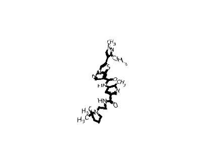 Cc1ncc(C(=O)NCCN2CCCC2(C)C)cc1NC(=O)c1cnn2cc(-c3cn(C)nc3C)sc12